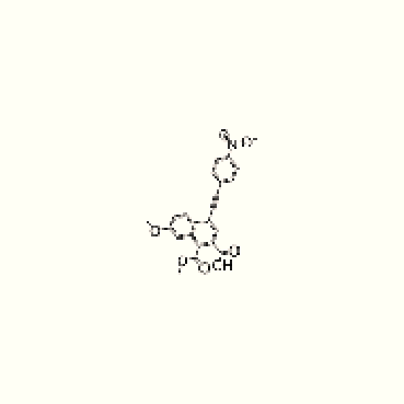 COC(=O)c1c(C(=O)O)cc(C#Cc2ccc([N+](=O)[O-])cc2)c2ccc(OC)cc12